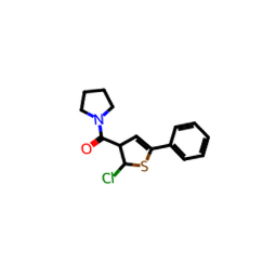 O=C(C1C=C(c2ccccc2)SC1Cl)N1CCCC1